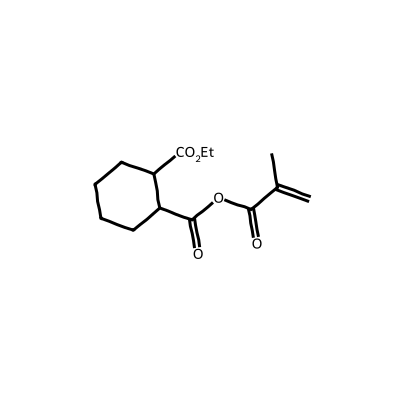 C=C(C)C(=O)OC(=O)C1CCCCC1C(=O)OCC